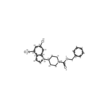 O=C(OCc1ccccc1)N1CCC(n2ccc3c([N+](=O)[O-])cc(Cl)cc32)CC1